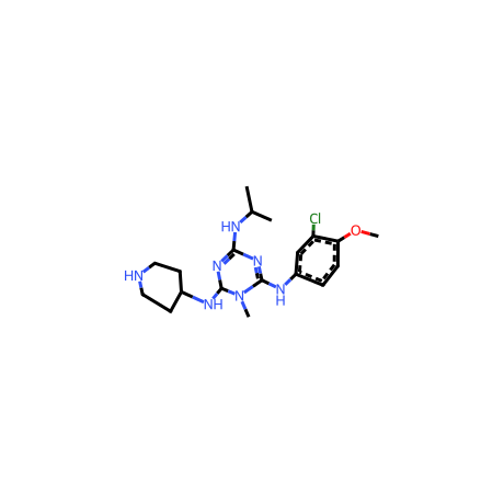 COc1ccc(NC2=NC(NC(C)C)=NC(NC3CCNCC3)N2C)cc1Cl